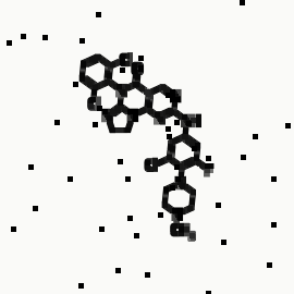 CN1CCN(c2c(F)cc(Nc3ncc4c(n3)N3CCN=C3N(c3c(Cl)cccc3Cl)C4=O)cc2Cl)CC1